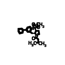 CC(C)CC(=O)N1CC[C@H](NS(C)(=O)=O)[C@@H]1Cc1cccc(-c2ccccc2)c1